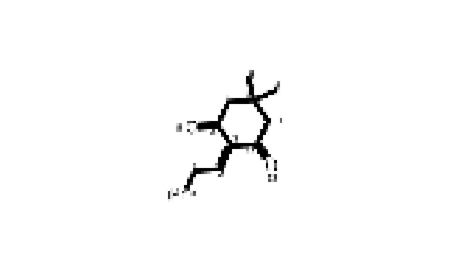 [CH2]C(C)CC=C1C(=O)CC(C)(C)CC1=O